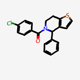 O=C(c1ccc(Cl)cc1)N1CCc2sccc2C1c1ccccc1